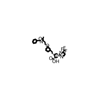 Cc1oc(-c2ccccc2)nc1CCOc1cccc(CC[C@@H]2CN(c3nccc(C(F)(F)F)n3)C[C@@H]2C(=O)O)c1